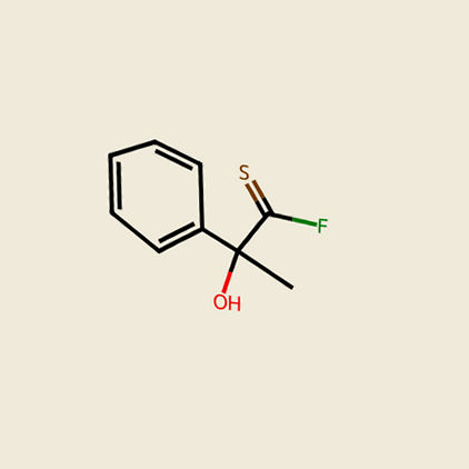 CC(O)(C(F)=S)c1ccccc1